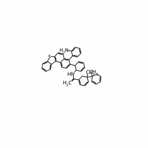 C=C(NC1C=CC=CC1c1ccc2c(ccc3sc4ccccc4c32)c1-c1ccccc1N)C1=CC=CC(C)(C2(C)C=CC=CC2)C1